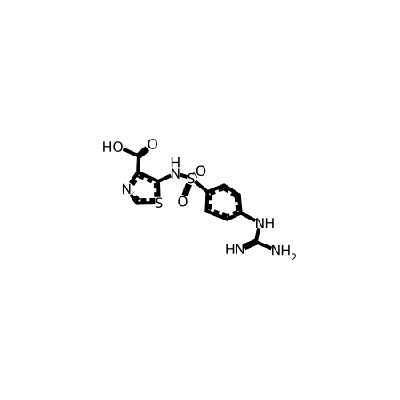 N=C(N)Nc1ccc(S(=O)(=O)Nc2scnc2C(=O)O)cc1